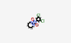 O=c1n(-c2cc(Cl)cc(Cl)c2)c(=O)n2n1CCCCCC2